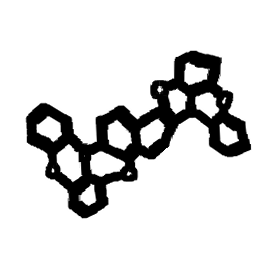 c1ccc2c(c1)Oc1cccc3c1B2c1ccc2c4c(ccc2c1O3)B1c2ccccc2Oc2cccc(c21)O4